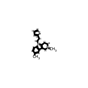 Cc1ccc2c(c1)c1c(n2CCc2cccs2)CCN(C)C1